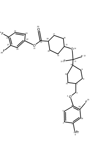 CCCc1ccc(OCC2CCC(C(F)(F)OC3CCC(C(=O)Oc4ccc(F)c(F)c4)CC3)CC2)c(F)c1